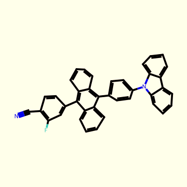 N#Cc1ccc(-c2c3ccccc3c(-c3ccc(-n4c5ccccc5c5ccccc54)cc3)c3ccccc23)cc1F